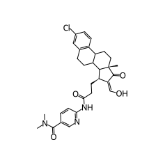 CN(C)C(=O)c1ccc(NC(=O)CC[C@@H]2/C(=C/O)C(=O)[C@@]3(C)CCC4c5ccc(Cl)cc5CCC4C23)nc1